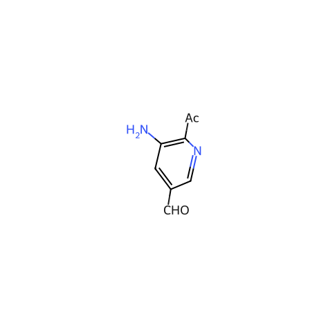 CC(=O)c1ncc(C=O)cc1N